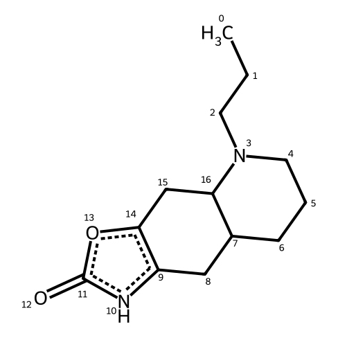 CCCN1CCCC2Cc3[nH]c(=O)oc3CC21